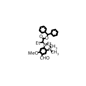 CCC(C(=O)OC(c1ccccc1)c1ccccc1)N(CC)c1cc(OC)c(C=O)cc1N(C)C